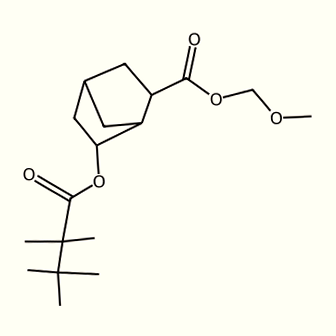 COCOC(=O)C1CC2CC(OC(=O)C(C)(C)C(C)(C)C)C1C2